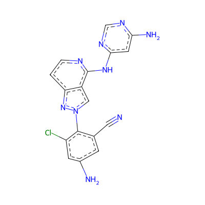 N#Cc1cc(N)cc(Cl)c1-n1cc2c(Nc3cc(N)ncn3)nccc2n1